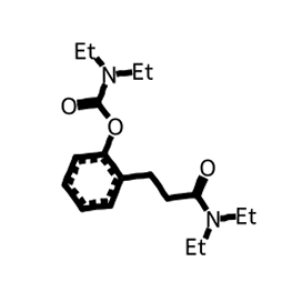 CCN(CC)C(=O)CCc1ccccc1OC(=O)N(CC)CC